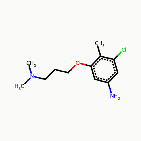 Cc1c(Cl)cc(N)cc1OCCCN(C)C